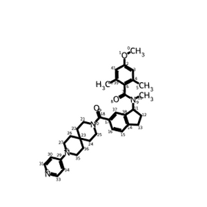 COc1cc(C)c(C(=O)N(C)C2CCc3ccc(C(=O)N4CCC5(CC4)CCN(c4ccncc4)CC5)cc32)c(C)c1